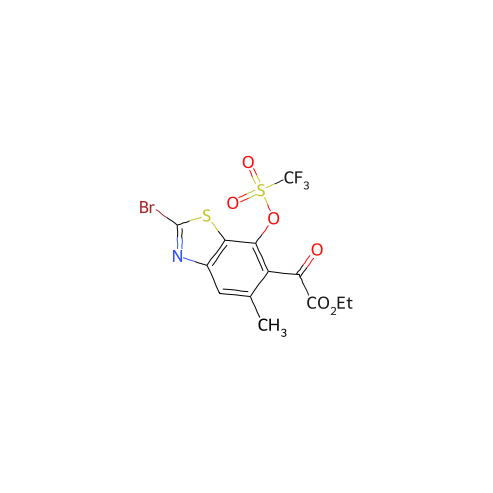 CCOC(=O)C(=O)c1c(C)cc2nc(Br)sc2c1OS(=O)(=O)C(F)(F)F